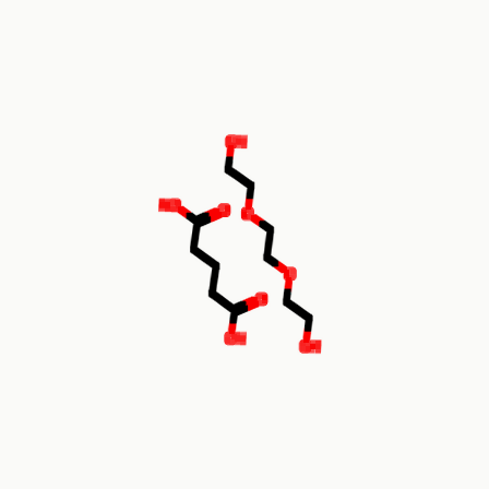 O=C(O)CCCC(=O)O.OCCOCCOCCO